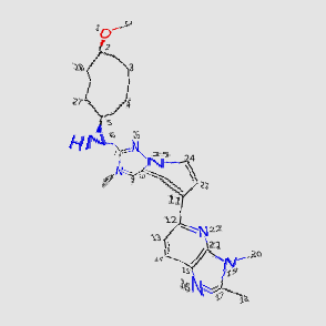 CO[C@H]1CC[C@@H](Nc2ncc3c(-c4ccc5nc(C)n(C)c5n4)ccn3n2)CC1